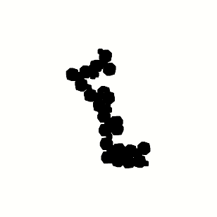 Cc1cccc(N(c2ccccc2)c2ccc3c(c2)C(C)(C)c2cc(N(c4ccccc4)c4cccc(Cc5cccc(N(c6ccc7c(c6)C(C)(C)c6cc(N(c8cccc(Cc9cccc(N(c%10ccccc%10)c%10ccc%11c(c%10)C(c%10ccccc%10)(c%10ccccc%10)c%10cc(N(c%12ccccc%12)c%12cccc(C)c%12)ccc%10-%11)c9)c8)c8cccc9ccccc89)ccc6-7)c6cccc7ccccc67)c5)c4)ccc2-3)c1